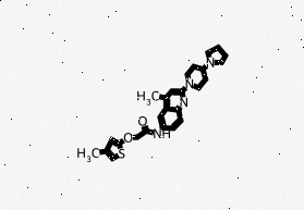 Cc1csc(OCC(=O)Nc2ccc3nc(N4CCC(N5CCCC5)CC4)cc(C)c3c2)c1